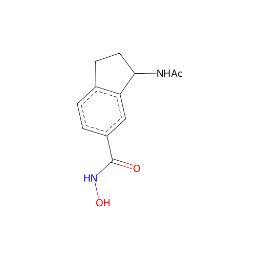 CC(=O)NC1CCc2ccc(C(=O)NO)cc21